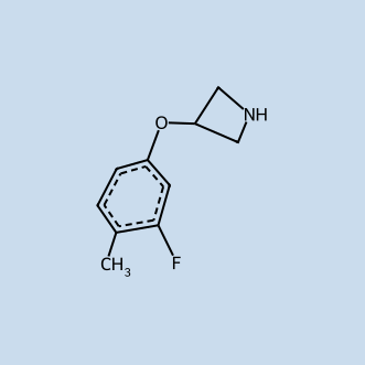 Cc1ccc(OC2CNC2)cc1F